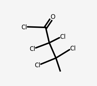 CC(Cl)(Cl)C(Cl)(Cl)C(=O)Cl